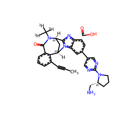 O=CO.[2H]C([2H])([2H])N1C(=O)c2cccc(C#CC)c2[C@H]2C[C@@H]1c1nc3ccc(-c4cnc(N5CCC[C@@H]5CN)nc4)cc3n12